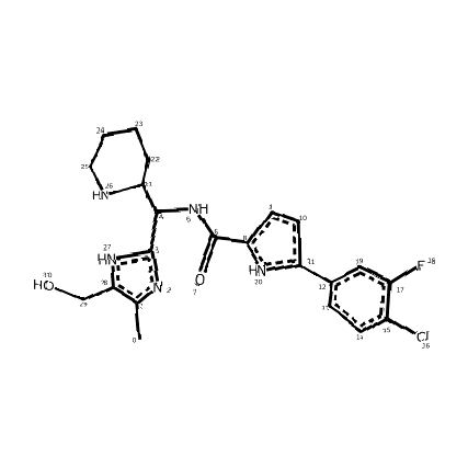 Cc1nc(C(NC(=O)c2ccc(-c3ccc(Cl)c(F)c3)[nH]2)C2CCCCN2)[nH]c1CO